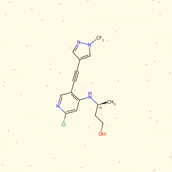 C[C@@H](CCO)Nc1cc(Cl)ncc1C#Cc1cnn(C(F)(F)F)c1